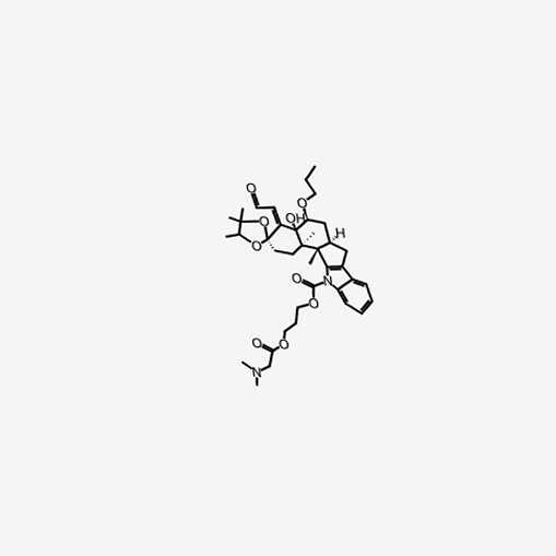 CCCO[C@H]1C[C@H]2Cc3c(n(C(=O)OCCCOC(=O)CN(C)C)c4ccccc34)[C@]2(C)[C@@]2(C)CC[C@@]3(OC(C)C(C)(C)O3)/C(=C\C=O)[C@]12O